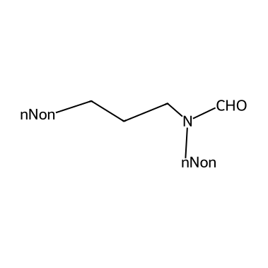 CCCCCCCCCCCCN(C=O)CCCCCCCCC